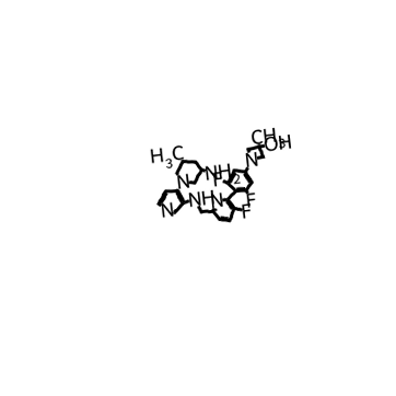 CC1CC(N)CN(c2ccncc2NCc2ccc(F)c(-c3c(F)cc(N4CC(C)(O)C4)cc3F)n2)C1